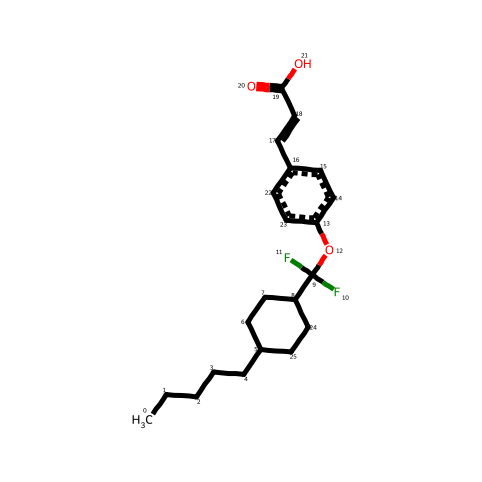 CCCCCC1CCC(C(F)(F)Oc2ccc(C=CC(=O)O)cc2)CC1